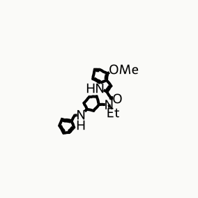 CCN(C(=O)c1cc2c(OC)cccc2[nH]1)C1CCCC(NCc2ccccc2)C1